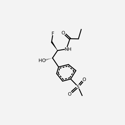 CCC(=O)N[C@H](CF)[C@@H](O)c1ccc(S(C)(=O)=O)cc1